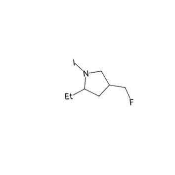 CCC1CC(CF)CN1I